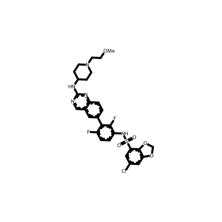 COCCN1CCC(Nc2ncc3cc(-c4c(F)ccc(NS(=O)(=O)c5cc(Cl)cc6c5OCO6)c4F)ccc3n2)CC1